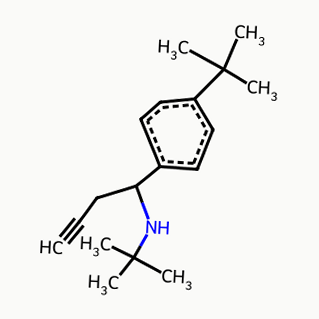 C#CCC(NC(C)(C)C)c1ccc(C(C)(C)C)cc1